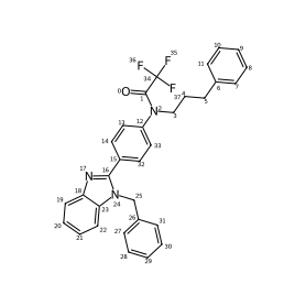 O=C(N(CCCc1ccccc1)c1ccc(-c2nc3ccccc3n2Cc2ccccc2)cc1)C(F)(F)F